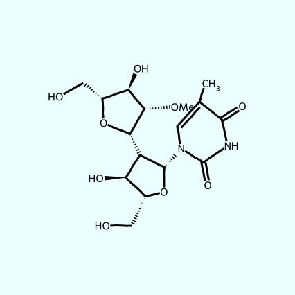 CO[C@H]1[C@H](O)[C@@H](CO)O[C@H]1C1[C@H](n2cc(C)c(=O)[nH]c2=O)O[C@H](CO)[C@H]1O